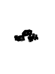 CC(C)OC(=O)c1cncn1C1CCCc2ccc(NCS(C)(=O)=O)cc21